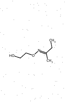 CCC(C)=NOCCO